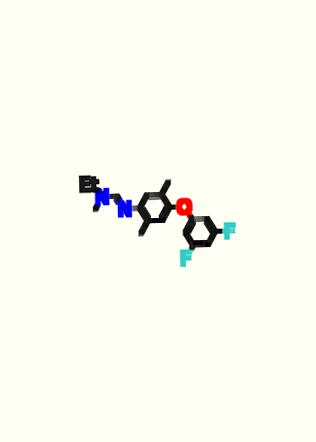 CCN(C)/C=N/c1cc(C)c(Oc2cc(F)cc(F)c2)cc1C